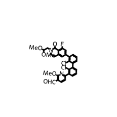 COc1nc(-c2cccc(-c3cccc(-c4cc(F)c5c(c4)CCN(CC(OC)OC)C5=O)c3Cl)c2Cl)ccc1C=O